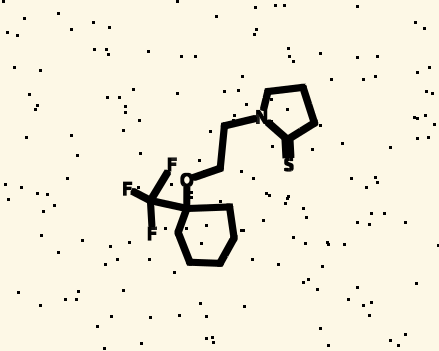 FC(F)(F)C1(OCCN2CCCC2=S)CCCCC1